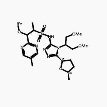 COCC(COC)n1c(NS(=O)(=O)C(C)C(OC(C)C)c2ncc(C)cn2)nnc1[C@H]1CC[C@@H](C)O1